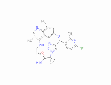 Cc1nc(F)ccc1[C@H](Nc1cc(C#N)c2ncc(C#N)c(NCC(C)(C)C)c2c1)c1cn(C2(C(N)=O)CC2)nn1